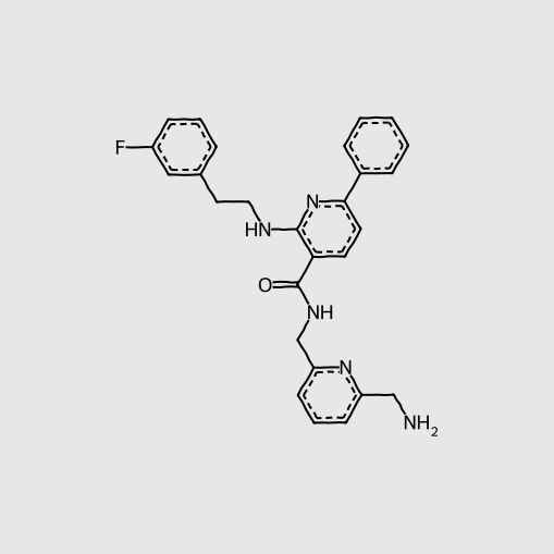 NCc1cccc(CNC(=O)c2ccc(-c3ccccc3)nc2NCCc2cccc(F)c2)n1